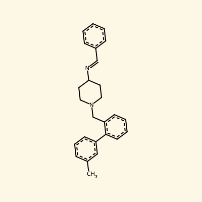 Cc1cccc(-c2ccccc2CN2CCC(N=Cc3ccccc3)CC2)c1